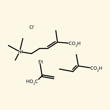 C=C(CC)C(=O)O.CC(=CCC[N+](C)(C)C)C(=O)O.CC=C(C)C(=O)O.[Cl-]